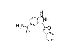 NC(=O)c1ccc2c(c1)C(c1cc3ccccc3o1)NN2